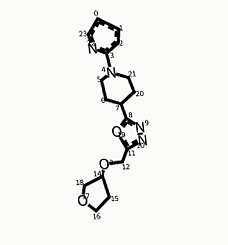 c1ccc(N2CCC(c3nnc(CO[C@H]4CCOC4)o3)CC2)nc1